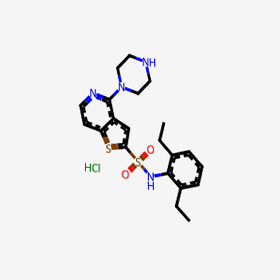 CCc1cccc(CC)c1NS(=O)(=O)c1cc2c(N3CCNCC3)nccc2s1.Cl